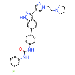 O=C(Nc1ccc(-c2ccc3c(-c4cnn(CCN5CCCC5)c4)n[nH]c3c2)cc1)Nc1cccc(F)c1